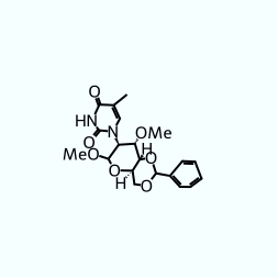 COC1O[C@@H]2COC(c3ccccc3)O[C@H]2[C@@H](OC)[C@@H]1n1cc(C)c(=O)[nH]c1=O